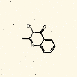 CCn1c(C)nc2ccccc2c1=O